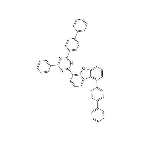 c1ccc(-c2ccc(-c3nc(-c4ccccc4)nc(-c4cccc5c4oc4cccc(-c6ccc(-c7ccccc7)cc6)c45)n3)cc2)cc1